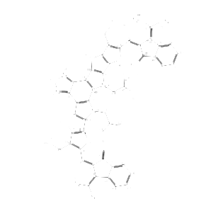 [C-]#[N+]C([N+]#[C-])=C1/C(=C/c2sc3c(sc4c5c6nsnc6c6c7sc8c(CCCCCCCCCCC)c(/C=C9\C(=O)c%10ccccc%10C9=C(C#N)C#N)sc8c7n(CC(CCCCCCCC)CCCCCCCCCC)c6c5n(CC(CCCCCCCC)CCCCCCCCCC)c34)c2CCCCCCCCCCC)C(=O)c2ccccc21